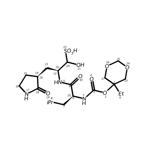 CCC1(OC(=O)N[C@@H](CC(C)C)C(=O)N[C@@H](C[C@@H]2CCNC2=O)C(O)S(=O)(=O)O)COCOC1